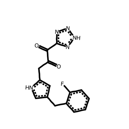 O=C(Cc1cc(Cc2ccccc2F)c[nH]1)C(=O)c1nn[nH]n1